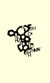 CCC1(O)CC2CN(CCc3c([nH]c4ccccc34)C(C(=O)OC)C2c2cc3c(cc2OC)N(C)C2C34CCN3CC=C[C@](CC)(C34)[C@@H](O)[C@]2(O)C(=O)N=[N+]=[N-])C1